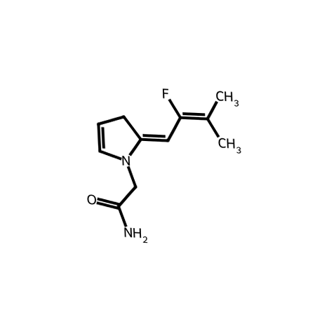 CC(C)=C(F)/C=C1\CC=CN1CC(N)=O